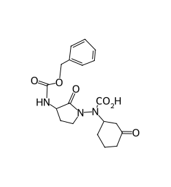 O=C1CCCC(N(C(=O)O)N2CCC(NC(=O)OCc3ccccc3)C2=O)C1